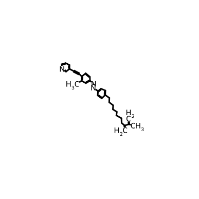 C=C(C)C(=C)CCCCCCCCc1ccc(/N=N/c2ccc(C#Cc3cccnc3)c(C)c2)cc1